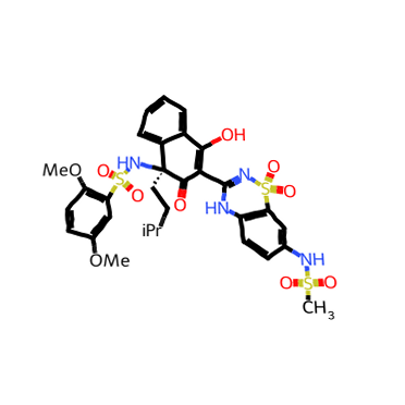 COc1ccc(OC)c(S(=O)(=O)N[C@]2(CCC(C)C)C(=O)C(C3=NS(=O)(=O)c4cc(NS(C)(=O)=O)ccc4N3)=C(O)c3ccccc32)c1